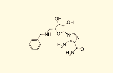 NC(=O)c1ncn([C@H]2O[C@@H](CNCc3ccccc3)[C@H](O)[C@@H]2O)c1N